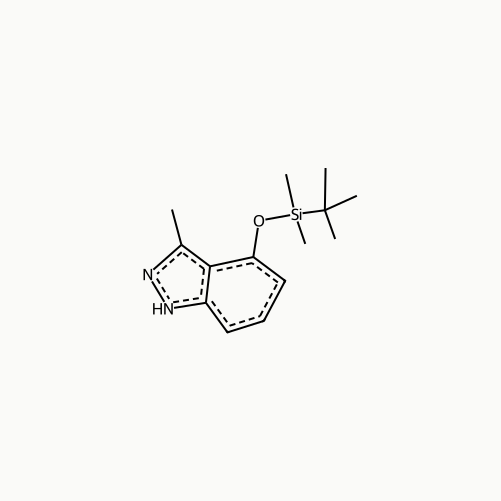 Cc1n[nH]c2cccc(O[Si](C)(C)C(C)(C)C)c12